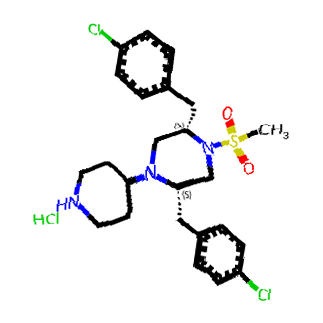 CS(=O)(=O)N1C[C@H](Cc2ccc(Cl)cc2)N(C2CCNCC2)C[C@@H]1Cc1ccc(Cl)cc1.Cl